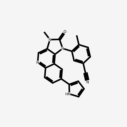 Cc1ccc(C#N)cc1-n1c(=O)n(C)c2cnc3ccc(-c4ccc[nH]4)cc3c21